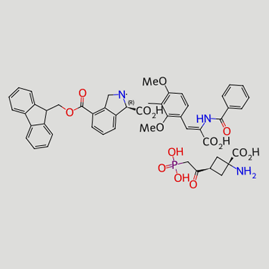 COc1ccc(C=C(NC(=O)c2ccccc2)C(=O)O)c(OC)c1C.N[C@]1(C(=O)O)C[C@@H](C(=O)CP(=O)(O)O)C1.O=C(OCC1c2ccccc2-c2ccccc21)c1cccc2c1C[N][C@H]2C(=O)O